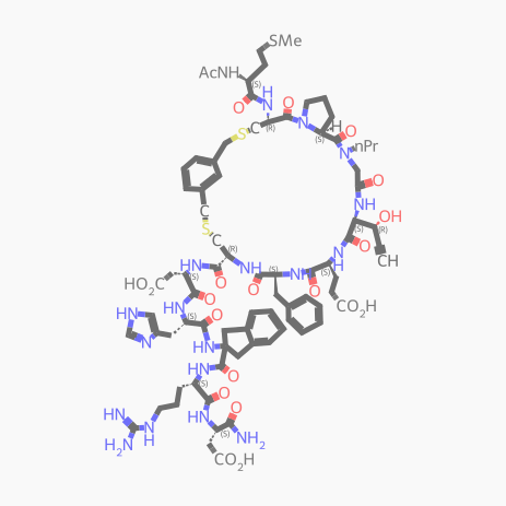 C#C[C@@H](O)[C@@H]1NC(=O)CN(CCC)C(=O)[C@@H]2CCCN2C(=O)[C@@H](NC(=O)[C@H](CCSC)NC(C)=O)CSCc2cccc(c2)CSC[C@@H](C(=O)N[C@@H](CC(=O)O)C(=O)N[C@@H](Cc2c[nH]cn2)C(=O)NC2(C(=O)N[C@@H](CCCNC(=N)N)C(=O)N[C@@H](CC(=O)O)C(N)=O)Cc3ccccc3C2)NC(=O)[C@H](Cc2ccccc2)NC(=O)[C@H](CCC(=O)O)NC1=O